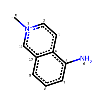 [CH2][n+]1ccc2c(N)cccc2c1